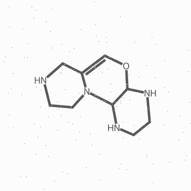 C1=C2CNCCN2C2NCCNC2O1